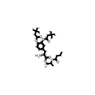 CCCC(=O)OC(C)[C@H](C)OC(=O)[C@@H](N)Cc1ccc(OC(=O)CC(C)(C)C)c(OC(=O)CC(C)(C)C)c1